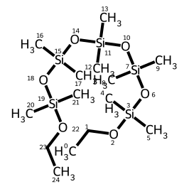 CCO[Si](C)(C)O[Si](C)(C)O[Si](C)(C)O[Si](C)(C)O[Si](C)(C)OCC